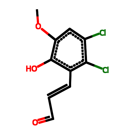 COc1cc(Cl)c(Cl)c(C=CC=O)c1O